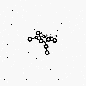 CC1(C)c2ccccc2-c2cc(N(c3ccc(-c4ccccc4)cc3)c3ccc4c(c3)C3(c5ccccc5Oc5ccccc53)c3ccc(-c5ccccc5)cc3-4)ccc21